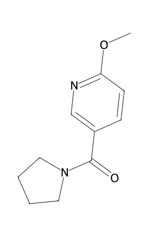 COc1ccc(C(=O)N2CCCC2)cn1